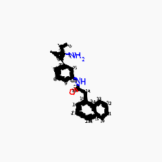 CC[C@@]1(N)C[C@H]1c1cccc(NC(=O)Cc2cccc3ccccc23)c1